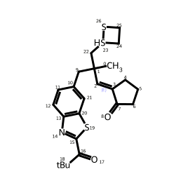 CC(/C=C1\CCCC1=O)(Cc1ccc2nc(C(=O)C(C)(C)C)sc2c1)C[SH]1CCS1